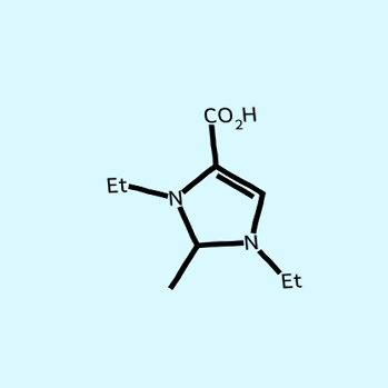 CCN1C=C(C(=O)O)N(CC)C1C